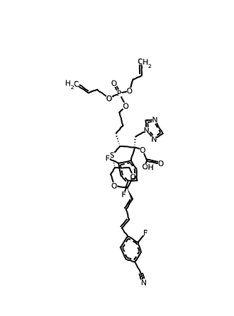 C=CCOP(=O)(OCC=C)OCCC[C@@H](S[C@H]1CO[C@H](C=CC=Cc2ccc(C#N)cc2F)OC1)[C@@](Cn1cncn1)(OC(=O)O)c1ccc(F)cc1F